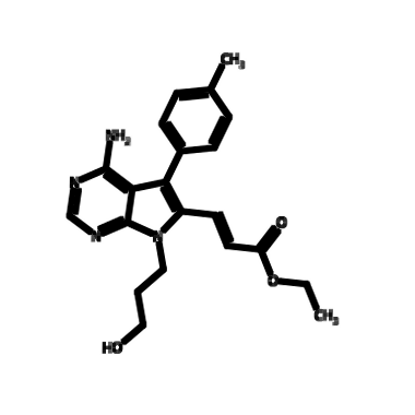 CCOC(=O)/C=C/c1c(-c2ccc(C)cc2)c2c(N)ncnc2n1CCCO